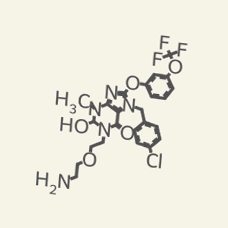 CN1c2nc(Oc3cccc(OC(F)(F)F)c3)n(Cc3ccc(Cl)cc3)c2C(=O)N(CCOCCN)C1O